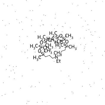 CC[N+](C)(CCC[Si](C)(C)O[Si](C)(C)O[Si](C)(C)C)CCC[Si](C)(C)O[Si](C)(C)O[Si](C)(C)C